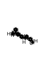 CC(=O)Nc1ccc(-c2ccnc(Nc3ccc(N4CCN(C(c5ccccc5)c5cn[nH]c5C)CC4)cc3)n2)cc1